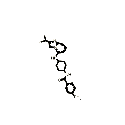 CC(F)c1cn2c(PC3CCC(NC(=O)c4ccc(P)cc4)CC3)cccc2n1